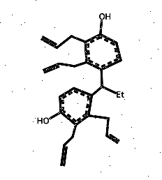 C=CCc1c(O)ccc(C(CC)c2ccc(O)c(CC=C)c2CC=C)c1CC=C